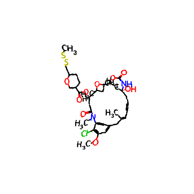 COc1cc2cc(c1Cl)N(C)C(=O)C[C@H](OC(=O)C1CCC(CSSC)OC1)[C@@]1(C)C[C@](C)(O1)[C@@H]1C[C@](O)(C/C=C/C=C(\C)C2)NC(=O)O1